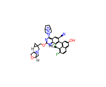 C#Cc1c(F)ccc2cc(O)cc(-c3c(C#N)cc4c(N5CC6CCC(C5)N6)nc(OCC5(CN6C[C@@H]7C[C@H]6CO7)CC5)nc4c3F)c12